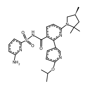 CC(C)Oc1ccc(-c2nc(N3C[C@@H](C)CC3(C)C)ccc2C(=O)NS(=O)(=O)c2cccc(N)n2)cn1